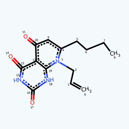 C=CCn1c(CCCC)cc(=O)c2c(=O)[nH]c(=O)[nH]c21